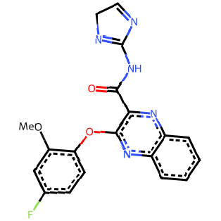 COc1cc(F)ccc1Oc1nc2ccccc2nc1C(=O)NC1=NCC=N1